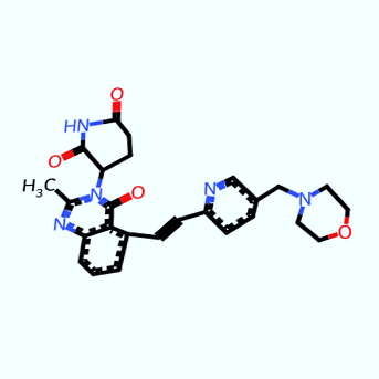 Cc1nc2cccc(C#Cc3ccc(CN4CCOCC4)cn3)c2c(=O)n1C1CCC(=O)NC1=O